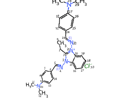 CCc1n(/N=C/c2ccc(N(C)C)cc2)c2ccccc2[n+]1/N=C/c1ccc(N(C)C)cc1.[Cl-]